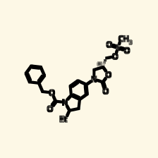 CCC1Cc2cc(N3C[C@H](COS(C)(=O)=O)OC3=O)ccc2N1C(=O)OCc1ccccc1